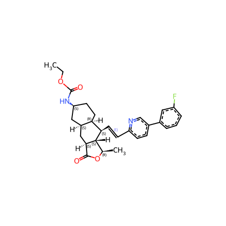 CCOC(=O)N[C@H]1CC[C@@H]2[C@H](C1)C[C@@H]1C(=O)O[C@H](C)[C@H]1[C@@H]2/C=C/c1ccc(-c2cccc(F)c2)cn1